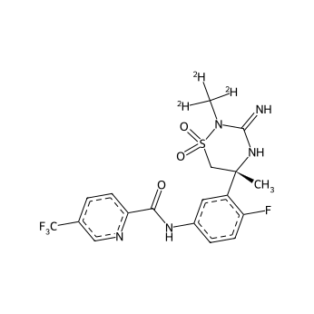 [2H]C([2H])([2H])N1C(=N)N[C@](C)(c2cc(NC(=O)c3ccc(C(F)(F)F)cn3)ccc2F)CS1(=O)=O